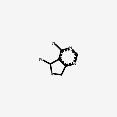 CCC1SCc2ncnc(Cl)c21